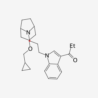 CCC(=O)c1cn(CCCN2C3CCC2CC(OCC2CC2)C3)c2ccccc12